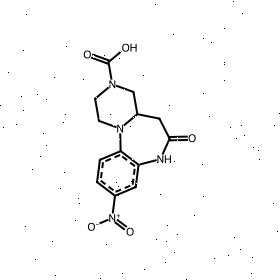 O=C1CC2CN(C(=O)O)CCN2c2ccc([N+](=O)[O-])cc2N1